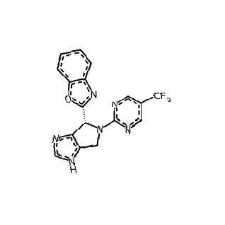 FC(F)(F)c1cnc(N2Cc3[nH]cnc3[C@@H]2c2nc3ccccc3o2)nc1